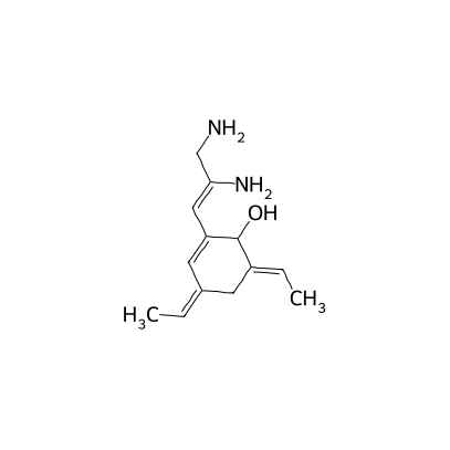 CC=C1C=C(C=C(N)CN)C(O)C(=CC)C1